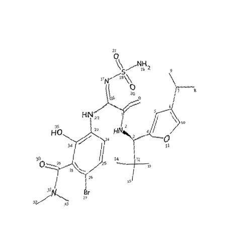 C=C(N[C@@H](c1cc(C(C)C)co1)C(C)(C)C)/C(=N\S(N)(=O)=O)Nc1ccc(Br)c(C(=O)N(C)C)c1O